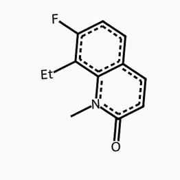 [CH2]Cc1c(F)ccc2ccc(=O)n(C)c12